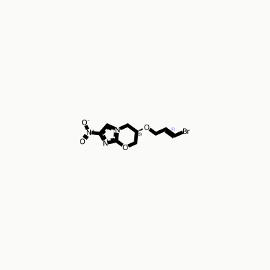 O=[N+]([O-])c1cn2c(n1)OC[C@@H](OC/C=C/Br)C2